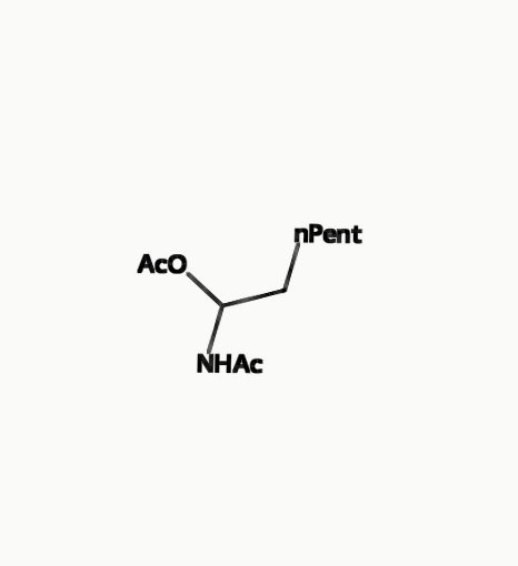 CCCCCCC(NC(C)=O)OC(C)=O